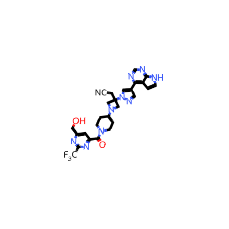 N#CCC1(n2cc(-c3ncnc4[nH]ccc34)cn2)CN(C2CCN(C(=O)c3cc(CO)nc(C(F)(F)F)n3)CC2)C1